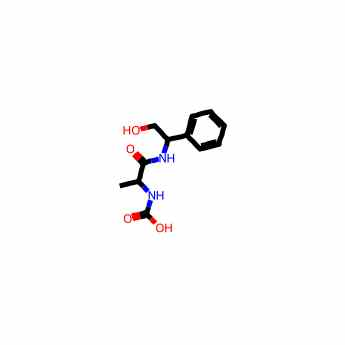 CC(NC(=O)O)C(=O)NC(CO)c1ccccc1